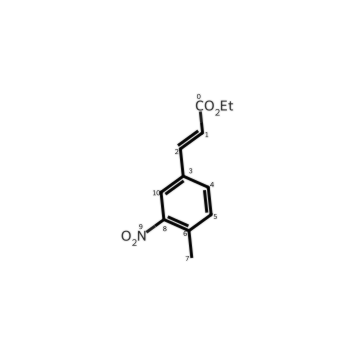 CCOC(=O)C=Cc1ccc(C)c([N+](=O)[O-])c1